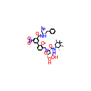 COc1c(CN2O[C@@H](CO)[C@@H]([C@H](C)O)[C@H]2C(=O)N[C@H]2C[C@@H](C)C(C)(C)[C@@H](C)[C@@H]2C)cccc1-c1cc(C(=O)N[C@@H](CCc2ccccc2)CN(C)C)cc([N+](=O)[O-])c1